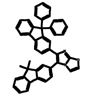 CC1(C)c2ccccc2-c2ccc(-c3c(-c4ccc5c(c4)C(c4ccccc4)(c4ccccc4)c4ccccc4-5)nc4occn34)cc21